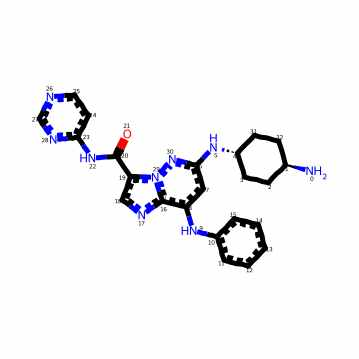 N[C@H]1CC[C@H](Nc2cc(Nc3ccccc3)c3ncc(C(=O)Nc4ccncn4)n3n2)CC1